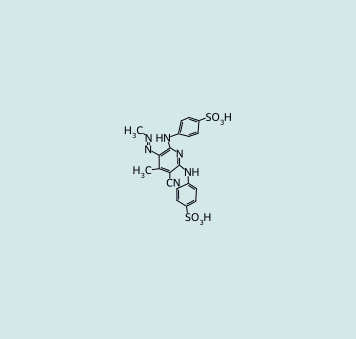 CN=Nc1c(Nc2ccc(S(=O)(=O)O)cc2)nc(Nc2ccc(S(=O)(=O)O)cc2)c(C#N)c1C